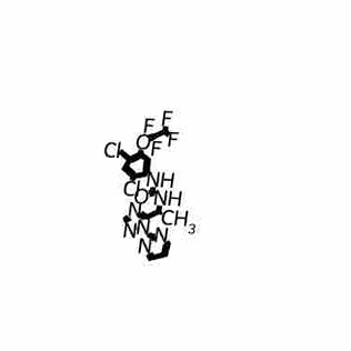 C[C@H](NC(=O)Nc1cc(OC(F)(F)C(F)F)c(Cl)cc1Cl)c1ncnn1-c1ncccn1